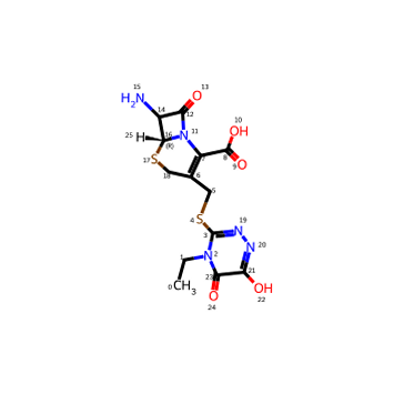 CCn1c(SCC2=C(C(=O)O)N3C(=O)C(N)[C@H]3SC2)nnc(O)c1=O